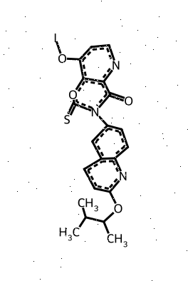 CC(C)C(C)Oc1ccc2cc(-n3c(=S)oc4c(OI)ccnc4c3=O)ccc2n1